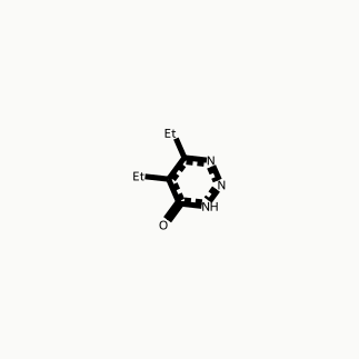 CCc1nn[nH]c(=O)c1CC